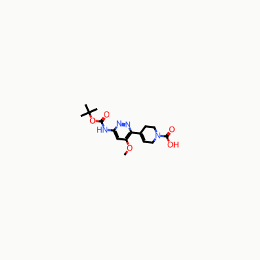 COc1cc(NC(=O)OC(C)(C)C)nnc1C1=CCN(C(=O)O)CC1